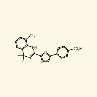 CC1(C)N=C(c2nc(-c3ccc(C(=O)O)cc3)cs2)Nc2c(C(F)(F)F)cccc21